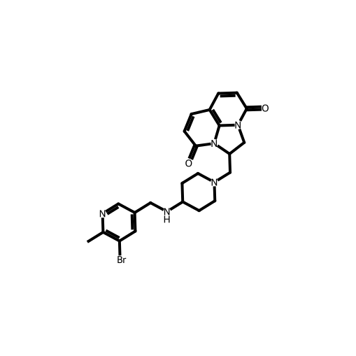 Cc1ncc(CNC2CCN(CC3Cn4c(=O)ccc5ccc(=O)n3c54)CC2)cc1Br